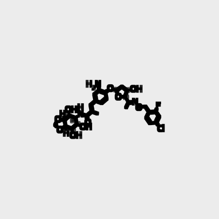 CC(=Cc1ccc(O[C@H]2C[C@H](O)[C@@H](C(C)=NOCc3ccc(Cl)cc3F)O2)c(N)c1)C(=O)N[C@@H]1[C@H](O)[C@@H](O)[C@H]2OCO[C@H]2[C@@H]1O